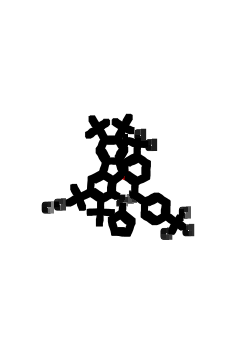 CC(C)(C)c1cc2c(cc1C(C)(C)C)-c1cc(C(C)(C)C)c(C(C)(C)C)[c]([Zr+2]([C]3=CC=CC3)=[C](c3ccc(C(Cl)(Cl)Cl)cc3)c3ccc(C(Cl)(Cl)Cl)cc3)c1C2.[Cl-].[Cl-]